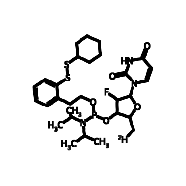 [2H]CC1OC(n2ccc(=O)[nH]c2=O)C(F)C1OP(OCCc1ccccc1SSC1CCCCC1)N(C(C)C)C(C)C